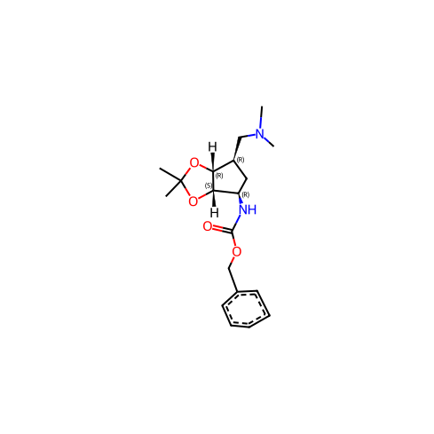 CN(C)C[C@H]1C[C@@H](NC(=O)OCc2ccccc2)[C@@H]2OC(C)(C)O[C@H]12